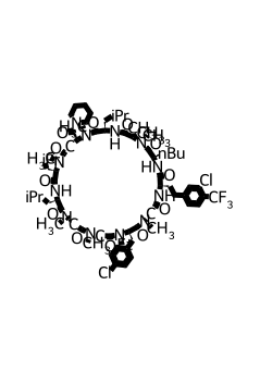 CCCC[C@@H]1NC(=O)[C@H](CCc2ccc(C(F)(F)F)c(Cl)c2)NC(=O)CN(C)C(=O)[C@H](Cc2ccc(Cl)cc2)N(CC)C(=O)CN(C)C(=O)CN(C)C(=O)[C@H](CC(C)C)NC(=O)[C@H](CC(C)C)N(C)C(=O)C[C@@H](C(=O)N2CCCCC2)N(C)C(=O)[C@H](CC(C)C)NC(=O)C(C)(C)N(C)C1=O